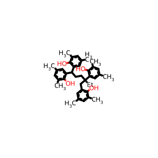 CCC(CCC(c1cc(C)cc(C)c1O)c1cc(C)cc(C)c1O)(Cc1cc(C)cc(C)c1O)c1cc(C)cc(C)c1O